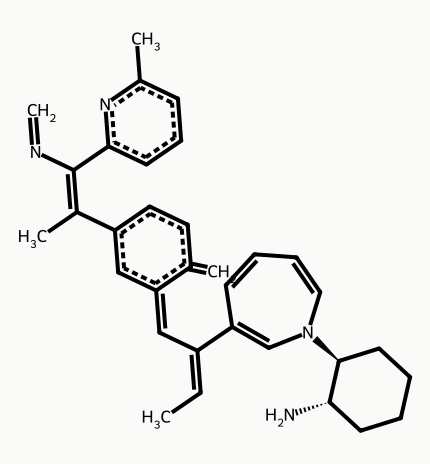 C=N/C(=C(\C)c1ccc(=C)/c(=C\C(=C/C)C2=CN([C@H]3CCCC[C@@H]3N)C=CC=C2)c1)c1cccc(C)n1